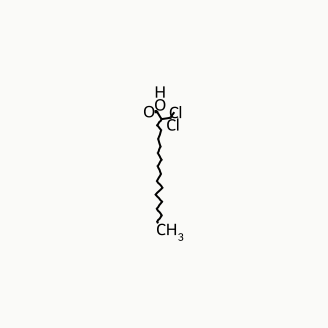 CCCCCCCCCCCCCCCCC(C(=O)O)C(Cl)Cl